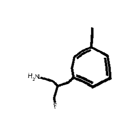 Cc1cccc(C(N)F)c1